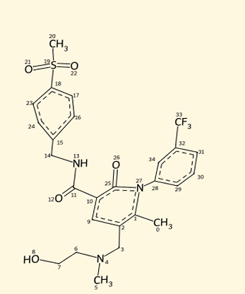 Cc1c(CN(C)CCO)cc(C(=O)NCc2ccc(S(C)(=O)=O)cc2)c(=O)n1-c1cccc(C(F)(F)F)c1